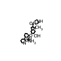 Cl.Cn1c(C(=O)N2CCNCC2)cc2cc(Oc3cccc(-c4cccnc4)c3S(N)(=O)=O)ccc21